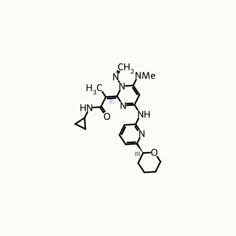 C=NN1C(NC)=CC(Nc2cccc([C@@H]3CCCCO3)n2)=N/C1=C(/C)C(=O)NC1CC1